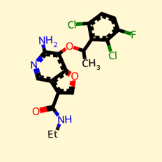 CCNC(=O)c1coc2c(OC(C)c3c(Cl)ccc(F)c3Cl)c(N)ncc12